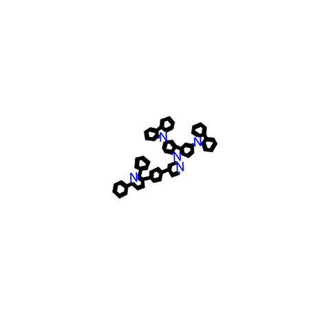 c1ccc(-c2ccc(-c3ccc(-c4ccnc(-n5c6ccc(-n7c8ccccc8c8ccccc87)cc6c6cc(-n7c8ccccc8c8ccccc87)ccc65)c4)cc3)c(-c3ccccc3)n2)cc1